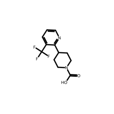 O=C(O)N1CCC(c2ncccc2C(F)(F)F)CC1